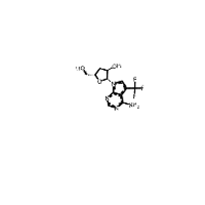 Nc1ncnc2c1c(C(F)(F)F)cn2[C@@H]1O[C@H](CO)C[C@H]1O